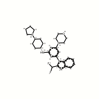 FC(F)c1nc2ccccc2n1-c1cc(N2CCOCC2)nc(N[C@H]2CC[C@H](N3CCCC3)CC2)n1